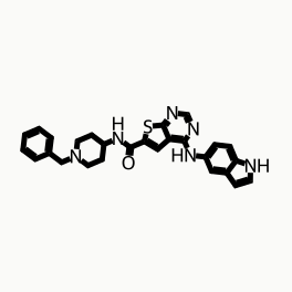 O=C(NC1CCN(Cc2ccccc2)CC1)c1cc2c(Nc3ccc4[nH]ccc4c3)ncnc2s1